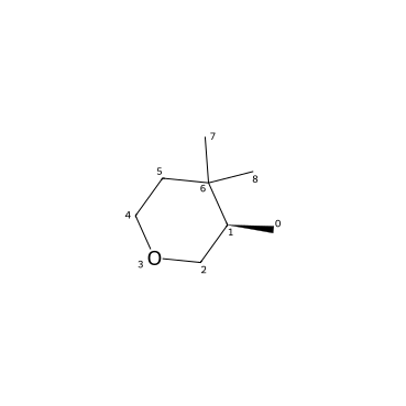 C[C@H]1COCCC1(C)C